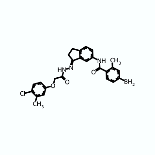 Bc1ccc(C(=O)Nc2ccc3c(c2)/C(=N/NC(=O)COc2ccc(Cl)c(C)c2)CC3)c(C)c1